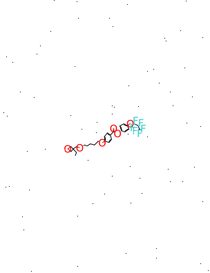 CCC1(COCCCCCOc2ccc(C(=O)Oc3ccc(OC(F)(F)C(F)C(F)(F)F)cc3)cc2)COC1